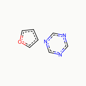 c1ccoc1.c1ncncn1